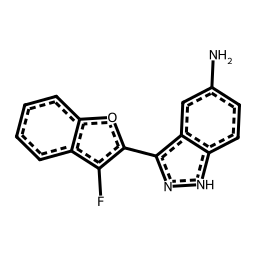 Nc1ccc2[nH]nc(-c3oc4ccccc4c3F)c2c1